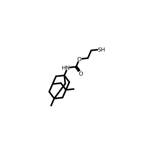 CC12CC3CC(C)(C1)CC(NC(=O)OCCS)(C3)C2